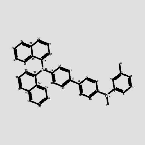 Cc1cccc(N(C)c2ccc(-c3ccc(N(c4cccc5ccccc45)c4cccc5ccccc45)cc3)cc2)c1